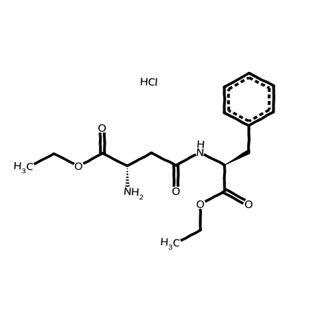 CCOC(=O)[C@H](Cc1ccccc1)NC(=O)C[C@H](N)C(=O)OCC.Cl